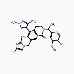 CCOc1cc(C(C)N2CCc3c(cc(Cn4cc(C)nc4C)cc3-c3cn(C)nc3C)C2=O)ncc1C#N